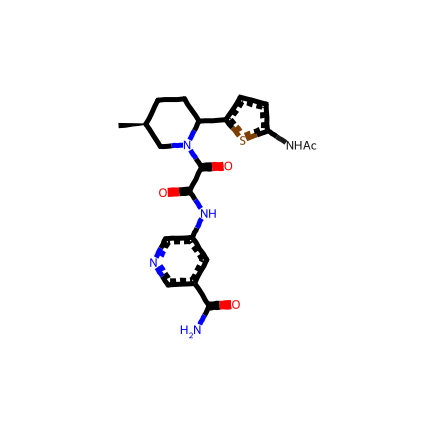 CC(=O)Nc1ccc(C2CC[C@H](C)CN2C(=O)C(=O)Nc2cncc(C(N)=O)c2)s1